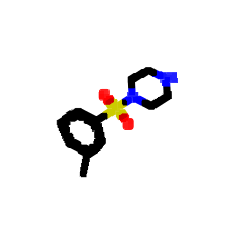 Cc1cccc(S(=O)(=O)N2CCNCC2)c1